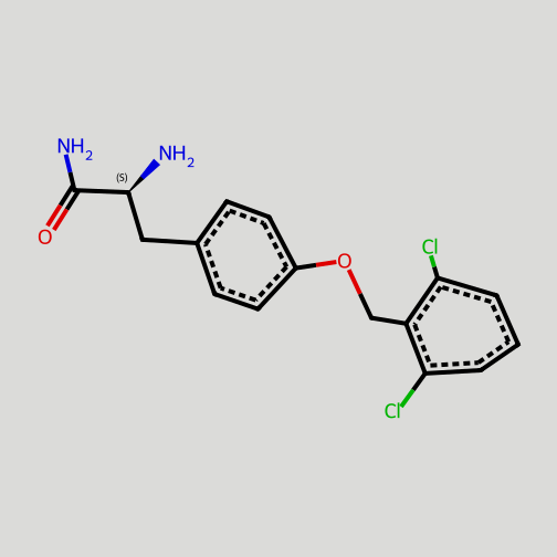 NC(=O)[C@@H](N)Cc1ccc(OCc2c(Cl)cccc2Cl)cc1